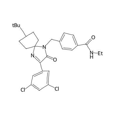 CCNC(=O)c1ccc(CN2C(=O)C(c3cc(Cl)cc(Cl)c3)=NC23CCC(C(C)(C)C)CC3)cc1